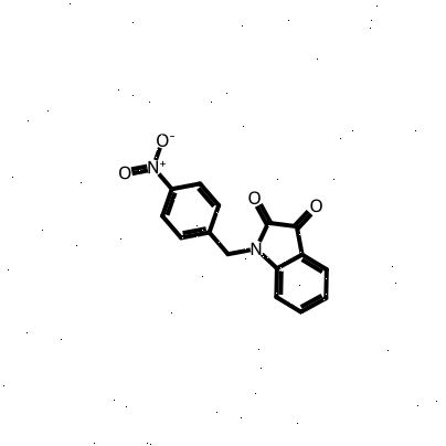 O=C1C(=O)N(Cc2ccc([N+](=O)[O-])cc2)c2ccccc21